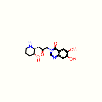 O=C(C[C@H]1NCCC[C@@H]1O)Cn1cnc2cc(O)c(O)cc2c1=O